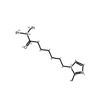 Cc1n[c]cn1CCCCCCC(=O)N(C(C)C)C(C)C